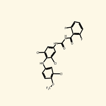 O=C(NC(=O)c1c(F)cccc1F)Nc1cc(Cl)c(Nc2ccc(OC(F)(F)F)c(Cl)c2)c(Cl)c1